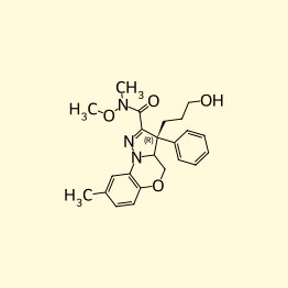 CON(C)C(=O)C1=NN2c3cc(C)ccc3OCC2[C@@]1(CCCO)c1ccccc1